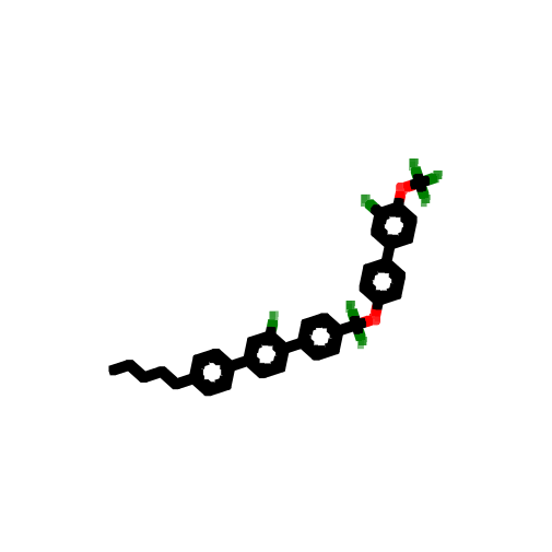 CCCCCc1ccc(-c2ccc(-c3ccc(C(F)(F)Oc4ccc(-c5ccc(OC(F)(F)F)c(F)c5)cc4)cc3)c(F)c2)cc1